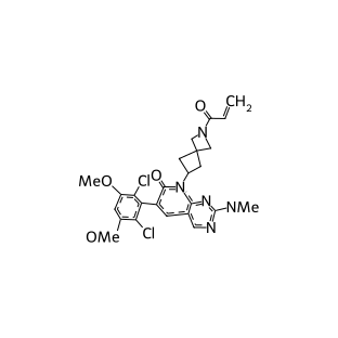 C=CC(=O)N1CC2(CC(n3c(=O)c(-c4c(Cl)c(OC)cc(OC)c4Cl)cc4cnc(NC)nc43)C2)C1